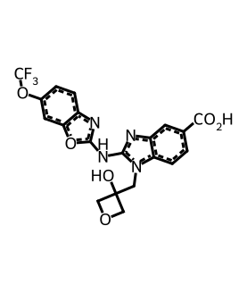 O=C(O)c1ccc2c(c1)nc(Nc1nc3ccc(OC(F)(F)F)cc3o1)n2CC1(O)COC1